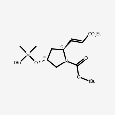 CCOC(=O)C=C[C@@H]1C[C@@H](O[Si](C)(C)C(C)(C)C)CN1C(=O)OC(C)(C)C